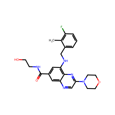 Cc1c(F)cccc1CNc1cc(C(=O)NCCO)cc2ncc(N3CCOCC3)nc12